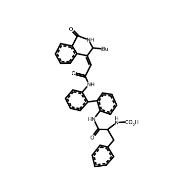 CCC(C)C1NC(=O)c2ccccc2/C1=C\C(=O)Nc1ccccc1-c1ccccc1NC(=O)C(Cc1ccccc1)NC(=O)O